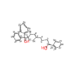 OC(CCCC1CCC(C(O)(c2ccccc2)c2ccccc2)CC1)c1ccccc1